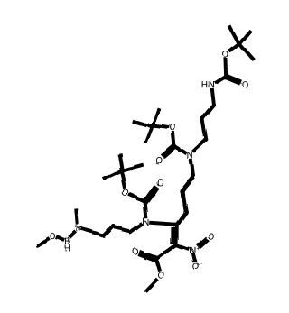 COBN(C)CCCN(C(=O)OC(C)(C)C)/C(CCCN(CCCNC(=O)OC(C)(C)C)C(=O)OC(C)(C)C)=C(\C(=O)OC)[N+](=O)[O-]